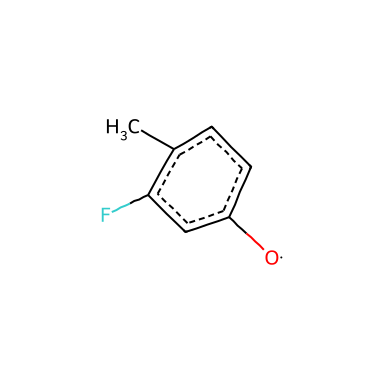 Cc1ccc([O])cc1F